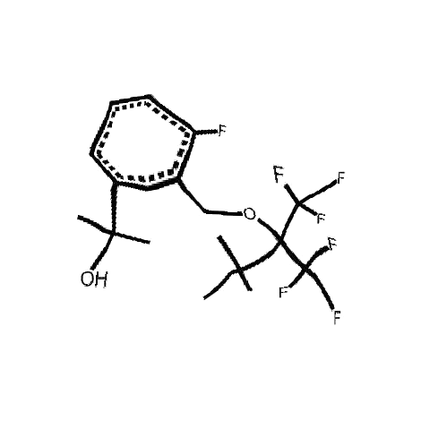 CC(C)(O)c1cccc(F)c1COC(C(C)(C)C)(C(F)(F)F)C(F)(F)F